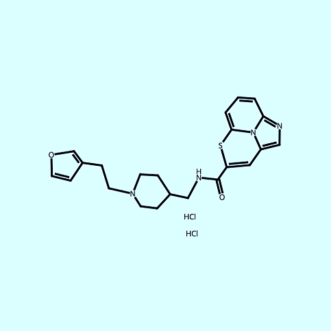 Cl.Cl.O=C(NCC1CCN(CCc2ccoc2)CC1)C1=Cc2cnc3cccc(n23)S1